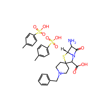 Cc1ccc(S(=O)(=O)O)cc1.Cc1ccc(S(=O)(=O)O)cc1.NC1C(=O)N2C(C(=O)O)C3(CCN(Cc4ccccc4)CC3)S[C@H]12